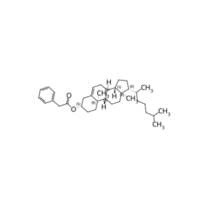 CC(C)CCCC(C)[C@H]1CC[C@H]2[C@@H]3CC=C4C[C@@H](OC(=O)Cc5ccccc5)CC[C@]4(C)[C@H]3CC[C@]12C